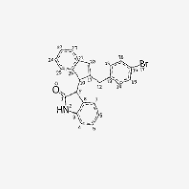 O=C1Nc2ccccc2C1C1C(Cc2ccc(Br)cc2)=Cc2ccccc21